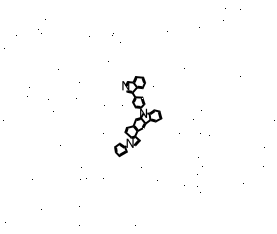 c1ccc(-n2ccc3c4cc5c6ccccc6n(-c6ccc(-c7cncc8ccccc78)cc6)c5cc4ccc32)cc1